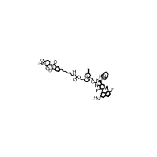 C#Cc1c(F)ccc2cc(O)cc(-c3ncc4c(N5CC6CCC(C5)N6)nc(OC[C@@]56CC[C@@H](COC(=O)NCCCCCCc7ccc8c(c7)C(=O)N(C7CCC(=O)NC7=O)C8=O)N5CC(=C)C6)nc4c3F)c12